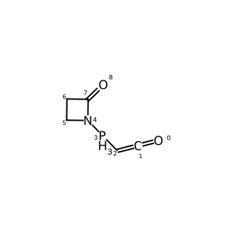 O=C=C[PH3]N1CCC1=O